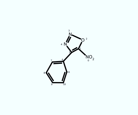 O=[N+]([O-])c1onnc1-c1ccccc1